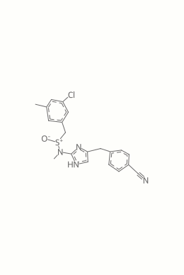 Cc1cc(Cl)cc(C[S+]([O-])N(C)c2nc(Cc3ccc(C#N)cc3)c[nH]2)c1